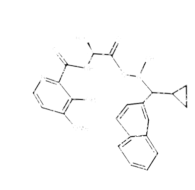 COc1ccnc(C(=O)N[C@@H](C)C(=O)ON(C)C(c2ccc3ccccc3c2)C2CC2)c1O